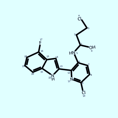 OC(CCCl)Nc1ccc(Cl)nc1-c1cc2c(F)cccc2[nH]1